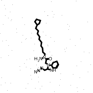 [N-]=[N+]=NCC1NC2C=CCCC2N1CC(=O)N(N)CCCCCCCCCCC1CCCC1